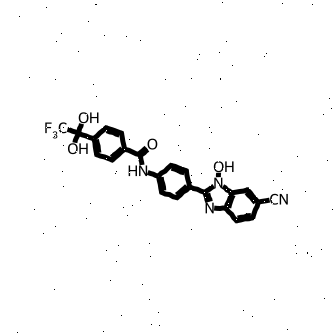 N#Cc1ccc2nc(-c3ccc(NC(=O)c4ccc(C(O)(O)C(F)(F)F)cc4)cc3)n(O)c2c1